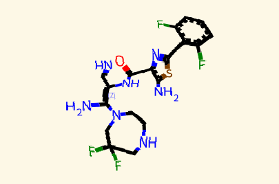 N=C/C(NC(=O)c1nc(-c2c(F)cccc2F)sc1N)=C(\N)N1CCNCC(F)(F)C1